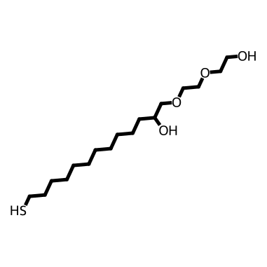 OCCOCCOCC(O)CCCCCCCCCCCS